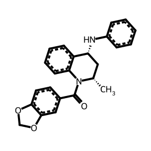 C[C@H]1C[C@@H](Nc2ccccc2)c2ccccc2N1C(=O)c1ccc2c(c1)OCO2